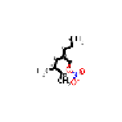 CCCC(CO[N+](=O)[O-])CC(C)CC